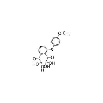 COc1ccc(Sc2cccc3c2C(=O)C(O)(O)C(O)(O)C3=O)cc1